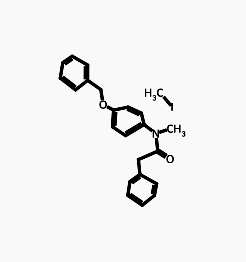 CI.CN(C(=O)Cc1ccccc1)c1ccc(OCc2ccccc2)cc1